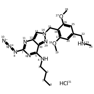 CCCCNc1nc(N=[N+]=[N-])nc2cn(Cc3c(OC)cc(CNC)cc3OC)nc12.Cl